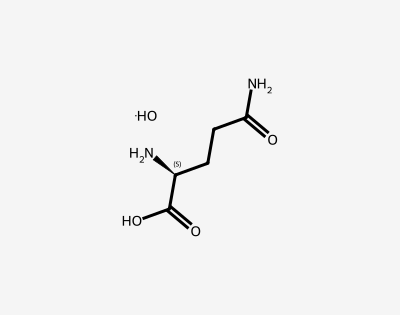 NC(=O)CC[C@H](N)C(=O)O.[OH]